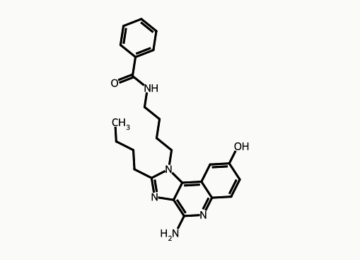 CCCCc1nc2c(N)nc3ccc(O)cc3c2n1CCCCNC(=O)c1ccccc1